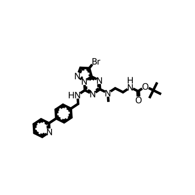 CN(CCNC(=O)OC(C)(C)C)c1nc(NCc2ccc(-c3ccccn3)cc2)n2ncc(Br)c2n1